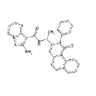 CC(NC(=O)c1c(N)nn2cccnc12)c1cc2ccc3ccccc3c2c(=O)n1-c1ccccc1